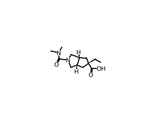 CC[C@]1(C(=O)O)C[C@H]2CN(C(=O)N(C)C)C[C@H]2C1